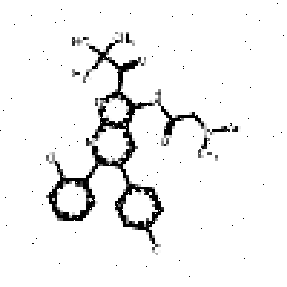 CC(=O)N(C)CC(=O)Nc1c(C(=O)C(C)(C)O)oc2nc(-c3ccccc3Cl)c(-c3ccc(Cl)cc3)cc12